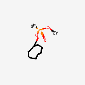 CCCP(=O)(OCC)OC1CCCCC1